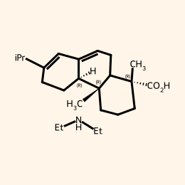 CC(C)C1=CC2=CCC3[C@](C)(C(=O)O)CCC[C@]3(C)[C@H]2CC1.CCNCC